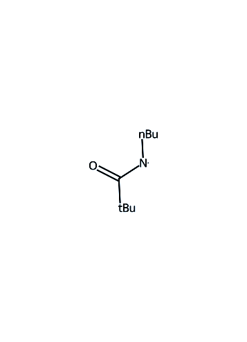 CCCC[N]C(=O)C(C)(C)C